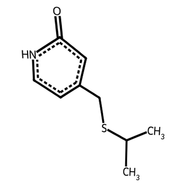 CC(C)SCc1cc[nH]c(=O)c1